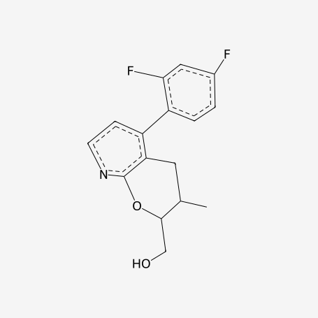 CC1Cc2c(-c3ccc(F)cc3F)ccnc2OC1CO